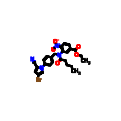 CCCCC(=O)N(Cc1ccc(-n2cc(Br)cc2C#N)cc1)c1cc(C(=O)OCC)ccc1[N+](=O)[O-]